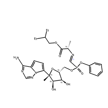 CCC(CC)COC(=O)[C@H](C)/N=C/P(=O)(OC[C@H]1O[C@@](C)(c2ccc3c(N)ncnn23)[C@H](O)[C@@H]1O)Oc1ccccc1